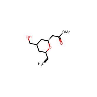 C=CC1CC(CO)C[C@@H](CC(=O)OC)O1